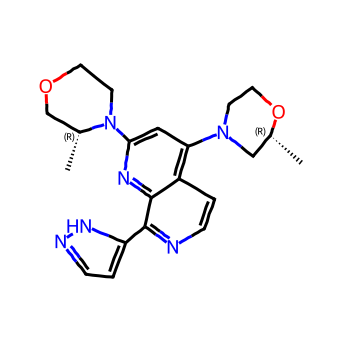 C[C@@H]1CN(c2cc(N3CCOC[C@H]3C)nc3c(-c4ccn[nH]4)nccc23)CCO1